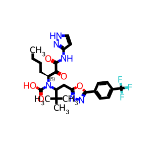 CCCC[C@@H](C(=O)C(=O)Nc1cc[nH]n1)N(C(=O)O)C(Cc1nnc(-c2ccc(C(F)(F)F)cc2)o1)C(C)(C)C